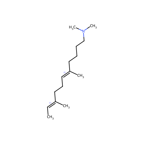 C/C=C(\C)CC/C=C(\C)CCCCN(C)C